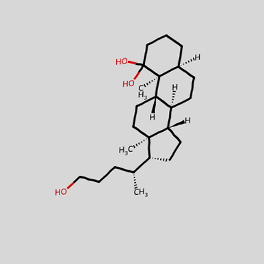 C[C@H](CCCO)[C@H]1CC[C@H]2[C@@H]3CC[C@@H]4CCCC(O)(O)[C@]4(C)[C@H]3CC[C@]12C